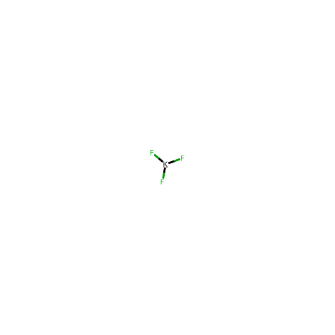 [F][K]([F])[F]